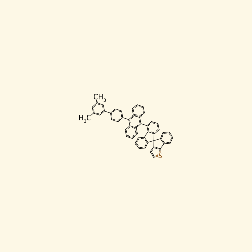 Cc1cc(C)cc(-c2ccc(-c3c4ccccc4c(-c4cccc5c4-c4ccccc4C54c5ccccc5-c5sccc54)c4ccccc34)cc2)c1